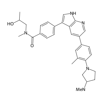 CNC1CCN(c2ccc(-c3cnc4[nH]cc(-c5ccc(C(=O)N(C)CC(C)O)cc5)c4c3)cc2C)C1